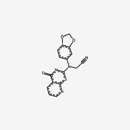 N#CCN(c1ccc2c(c1)OCO2)c1nc(=O)c2cccnc2s1